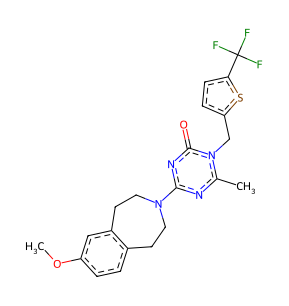 COc1ccc2c(c1)CCN(c1nc(C)n(Cc3ccc(C(F)(F)F)s3)c(=O)n1)CC2